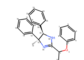 CC(Oc1ccccc1)C1=N[C@@](C)(c2ccccc2)[C@@H](c2ccccc2)N1